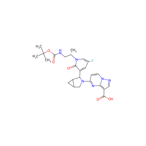 C[C@@H](CNC(=O)OC(C)(C)C)n1cc(F)cc(C2C3CC3CN2c2ccn3ncc(C(=O)O)c3n2)c1=O